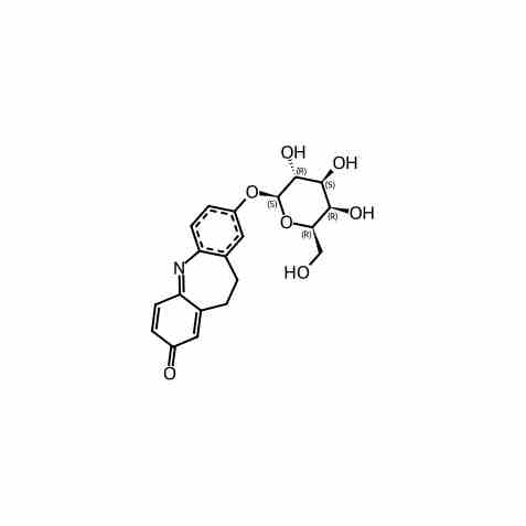 O=C1C=CC2=Nc3ccc(O[C@@H]4O[C@H](CO)[C@H](O)[C@H](O)[C@H]4O)cc3CCC2=C1